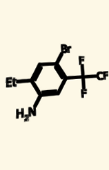 CCc1cc(Br)c(C(F)(F)C(F)(F)F)cc1N